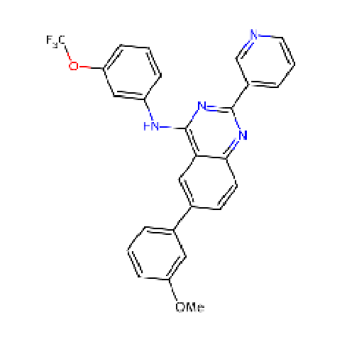 COc1cccc(-c2ccc3nc(-c4cccnc4)nc(Nc4cccc(OC(F)(F)F)c4)c3c2)c1